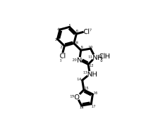 Cl.Clc1cccc(Cl)c1C1CNC(NCc2ccco2)=N1